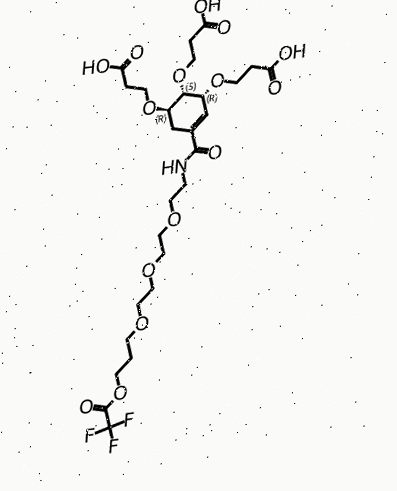 O=C(O)CCO[C@@H]1[C@H](OCCC(=O)O)C=C(C(=O)NCCOCCOCCOCCCOC(=O)C(F)(F)F)C[C@H]1OCCC(=O)O